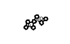 c1ccc2c(c1)-c1cc3c(cc1-c1cccc4c5ccccc5n-2c14)c1ccccc1n3-c1cccc2c1oc1ccccc12